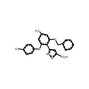 Cc1cc(OCc2ccccc2)c(-c2cc(C(=O)O)n[nH]2)c(Oc2ccc([N+](=O)[O-])cc2)c1